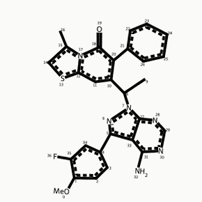 COc1ccc(-c2nn(C(C)c3cc4scc(C)n4c(=O)c3-c3ccccc3)c3ncnc(N)c23)cc1F